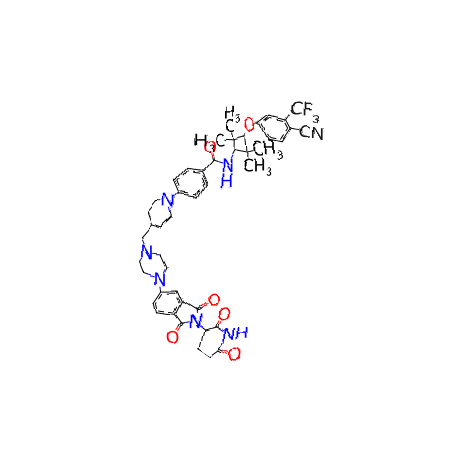 CC1(C)C(NC(=O)c2ccc(N3CCC(CN4CCN(c5ccc6c(c5)C(=O)N(C5CCC(=O)NC5=O)C6=O)CC4)CC3)cc2)C(C)(C)C1Oc1ccc(C#N)c(C(F)(F)F)c1